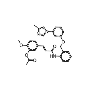 COc1ccc(C=CC(=O)Nc2ccccc2COc2cccc(-n3cnc(C)c3)c2)cc1OC(C)=O